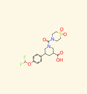 O=C(O)C1CC(c2ccc(OC(F)F)cc2)CN(C(=O)N2CCS(=O)(=O)CC2)C1